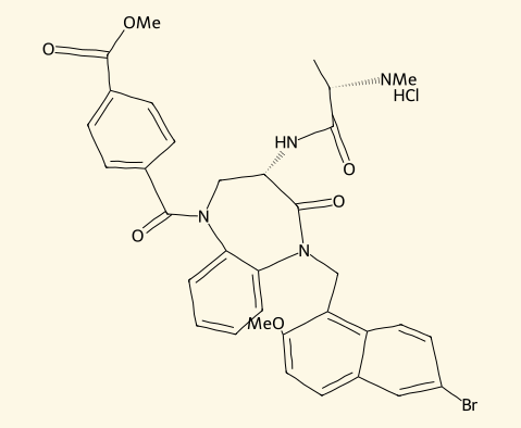 CN[C@@H](C)C(=O)N[C@H]1CN(C(=O)c2ccc(C(=O)OC)cc2)c2ccccc2N(Cc2c(OC)ccc3cc(Br)ccc23)C1=O.Cl